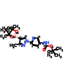 Cc1nn(-c2ccc(NC(=O)OC(C)(C)C)cn2)cc1B1OC(C)(C)C(C)(C)O1